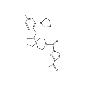 CC(=O)c1ccn(C(=O)N2CCC3(CCCN3Cc3ccc(C)cc3N3CCCC3)CC2)n1